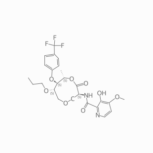 CCCO[C@H]1COC[C@H](NC(=O)c2nccc(OC)c2O)C(=O)O[C@@H](C)[C@@H]1Oc1ccc(C(F)(F)F)cc1